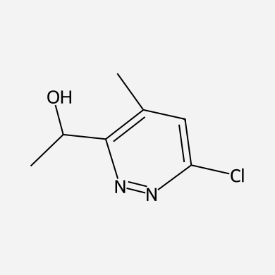 Cc1cc(Cl)nnc1C(C)O